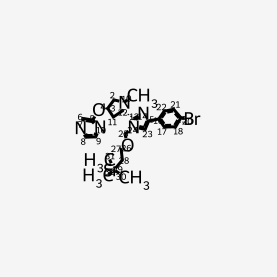 CN1C[C@@H](Oc2cnccn2)C[C@H]1c1nc(-c2ccc(Br)cc2)cn1COCC[Si](C)(C)C